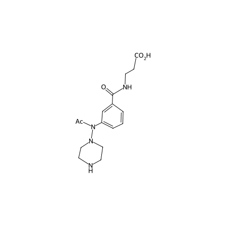 CC(=O)N(c1cccc(C(=O)NCCC(=O)O)c1)N1CCNCC1